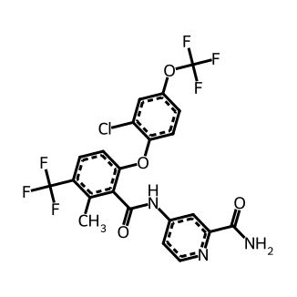 Cc1c(C(F)(F)F)ccc(Oc2ccc(OC(F)(F)F)cc2Cl)c1C(=O)Nc1ccnc(C(N)=O)c1